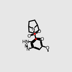 COc1cccc(S(=O)(=O)N2C3CCC2CN(C(=O)c2cnn[nH]2)C3)c1